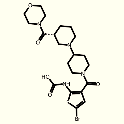 O=C(O)Nc1sc(Br)cc1C(=O)N1CCC(N2CCC[C@@H](C(=O)N3CCOCC3)C2)CC1